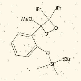 COC1(c2ccccc2O[Si](C)(C)C(C)(C)C)OOC1(C(C)C)C(C)C